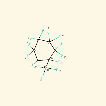 FC1C(F)(F)C(F)(F)C(F)(F)C(F)(F)C1(F)[Si](F)(F)F